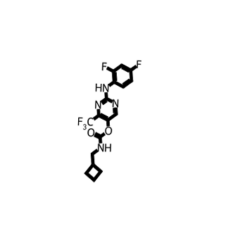 O=C(NCC1CCC1)Oc1cnc(Nc2ccc(F)cc2F)nc1C(F)(F)F